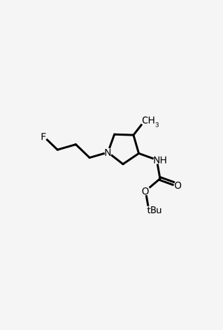 CC1CN(CCCF)CC1NC(=O)OC(C)(C)C